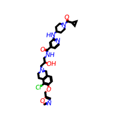 O=C(NCC(O)CN1CCc2c(ccc(OCc3cnco3)c2Cl)C1)c1ccnc(NC2CCN(C(=O)C3CC3)CC2)c1